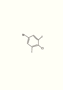 Clc1c(I)cc(Br)cc1I